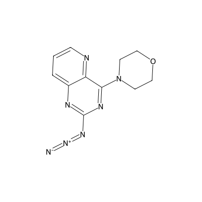 [N-]=[N+]=Nc1nc(N2CCOCC2)c2ncccc2n1